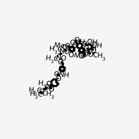 COc1cc([C@@H]2c3cc4c(cc3C(OC3O[C@@H]5CO[C@@H](C)O[C@H]5[C@H](O)[C@H]3O)[C@H]3COC(=O)[C@H]23)OCO4)cc(OC)c1OC(=O)N(C)CCN(C)C(=O)OCc1ccc(NC(=O)O[C@H]2/C=C/CC[C@@](C)(C(=O)OCC[Si](C)(C)C)CC2)cc1